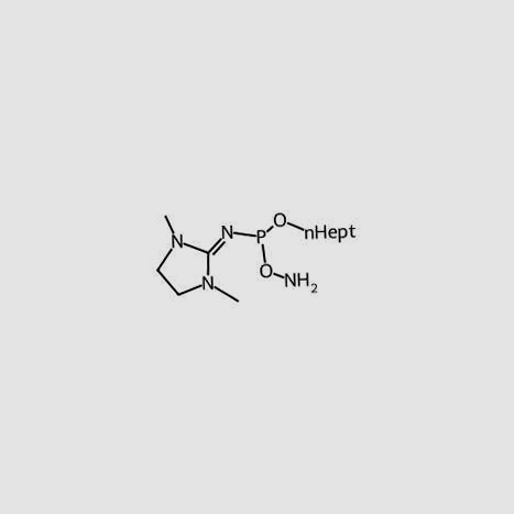 CCCCCCCOP(N=C1N(C)CCN1C)ON